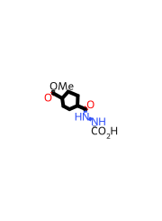 COC(=O)C1CCC(C(=O)NNC(=O)O)CC1